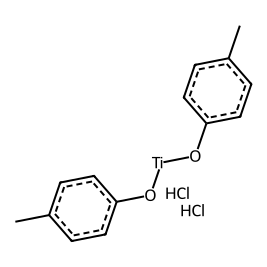 Cc1ccc([O][Ti][O]c2ccc(C)cc2)cc1.Cl.Cl